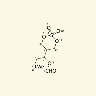 COCC(OC=O)C1COS(=O)(=O)OC1